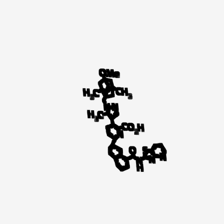 COC12CC3(C)CC(C)(C1)C(Cn1ncc(-c4ccc(-c5ccc6cccc(C(=O)Nc7nc8ncccc8s7)c6c5)nc4C(=O)O)c1C)(C3)C2